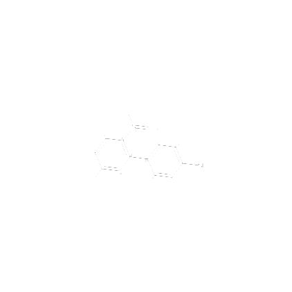 Cc1ccc([N+](=O)[O-])c(-c2ccc(N)cc2)c1